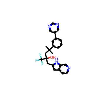 CC(C)(CC(O)(Cc1cc2ccncc2[nH]1)C(F)(F)F)c1cccc(-c2cncnc2)c1